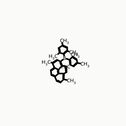 Cc1cc(C)c(B(c2c(C)cc(C)cc2C)c2cc(C)c3ccc4ccc(C)c5ccc2c3c45)c(C)c1